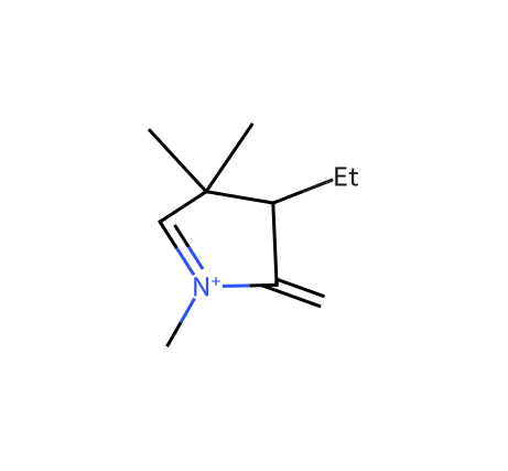 C=C1C(CC)C(C)(C)C=[N+]1C